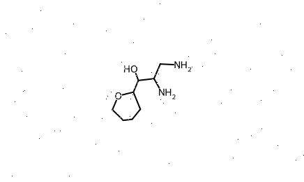 NCC(N)C(O)C1CCCCO1